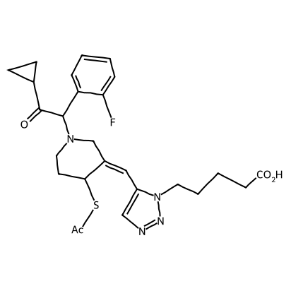 CC(=O)SC1CCN(C(C(=O)C2CC2)c2ccccc2F)C/C1=C/c1cnnn1CCCCC(=O)O